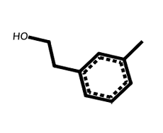 Cc1c[c]cc(CCO)c1